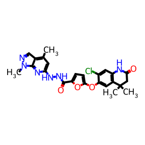 Cc1cc(NNC(=O)c2ccc(Oc3cc4c(cc3Cl)NC(=O)CC4(C)C)o2)nc2c1cnn2C